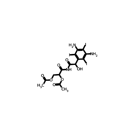 CC(=O)OCC(OC(C)=O)C(=O)NC(=O)C(O)c1c(I)c(N)c(I)c(N)c1I